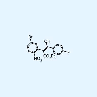 CCOC(=O)/C(=C(/O)c1ccc(F)cc1)c1cc(Br)ccc1[N+](=O)[O-]